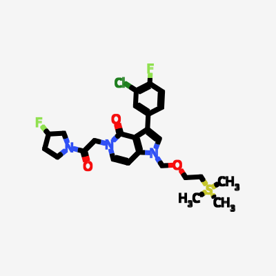 CS(C)(C)CCOCn1cc(-c2ccc(F)c(Cl)c2)c2c(=O)n(CC(=O)N3CCC(F)C3)ccc21